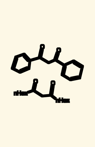 CCCCCCC(=O)CC(=O)CCCCCC.O=C(CC(=O)c1ccccc1)c1ccccc1